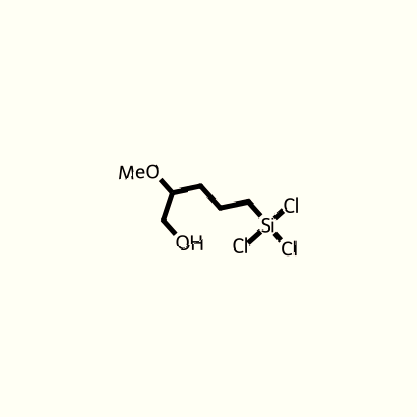 COC(CO)CCC[Si](Cl)(Cl)Cl